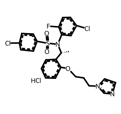 C[C@H](c1ccccc1OCCCn1ccnc1)N(c1cc(Cl)ccc1F)S(=O)(=O)c1ccc(Cl)cc1.Cl